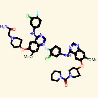 COc1cc2ncnc(Nc3ccc(F)c(Cl)c3)c2cc1OC1CCN(C(=O)N2CCCCC2)CC1.COc1cc2ncnc(Nc3ccc(F)c(Cl)c3)c2cc1OC1CCN(CC(N)=O)CC1